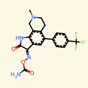 CN1CCc2c(-c3ccc(C(F)(F)F)cc3)cc3c(c2C1)NC(=O)C3=NOC(N)=O